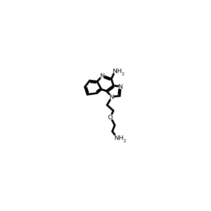 NCCOCCn1cnc2c(N)nc3ccccc3c21